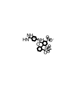 CS(=O)(=O)OC(=O)c1ccccc1-c1ccc([N+](=O)[O-])cc1C(=O)Nc1ccc(C(=N)N)cc1